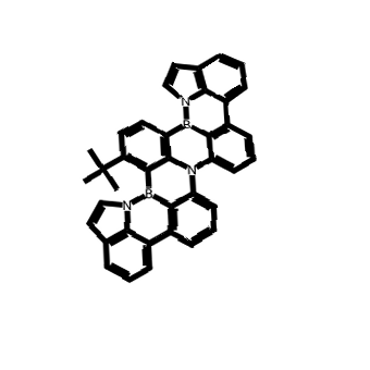 CC(C)(C)c1ccc2c3c1B1c4c(cccc4N3c3cccc4c3B2n2ccc3cccc-4c32)-c2cccc3ccn1c23